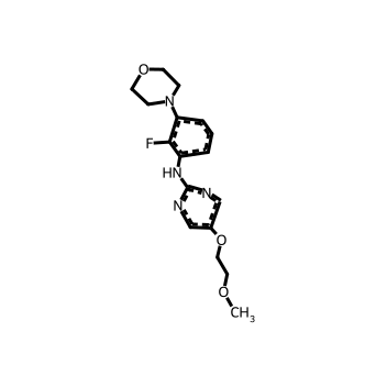 COCCOc1cnc(Nc2cccc(N3CCOCC3)c2F)nc1